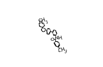 Cc1ccc(C(=O)Nc2cccc(-c3ccc(OC4CCN(C)CC4)cc3)c2)cc1